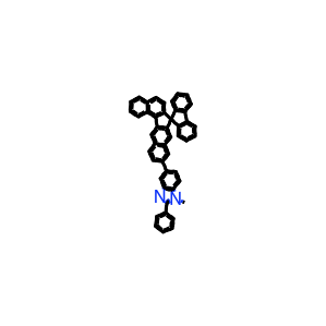 Cn1c(-c2ccccc2)nc2cc(-c3ccc4cc5c(cc4c3)C3(c4ccccc4-c4ccccc43)c3ccc4ccccc4c3-5)ccc21